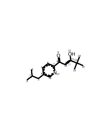 CC(C)Cc1ccc(C(=O)/C=C(\O)C(C)(C)C)nc1